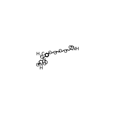 Cc1cc(OCCOCCOCCOCCC2CNCCO2)ccc1C(=O)N(C=O)C1CCC(=O)NC1=O